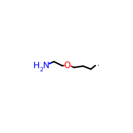 [CH2]CCCOCCN